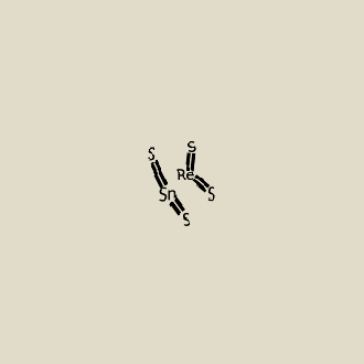 [S]=[Re]=[S].[S]=[Sn]=[S]